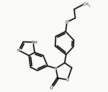 CCCOc1ccc(C2COC(=O)N2c2ccc3nc[nH]c3c2)cc1